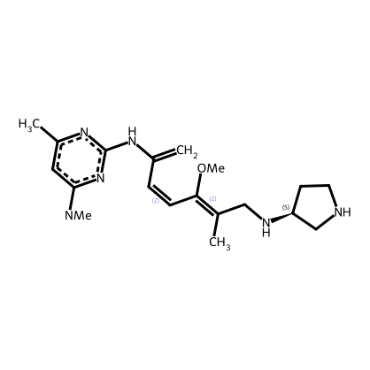 C=C(/C=C\C(OC)=C(/C)CN[C@H]1CCNC1)Nc1nc(C)cc(NC)n1